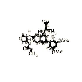 C=CC(=O)N[C@H]1COC[C@H]1Nc1ncc2cc(-c3c(F)c(OC)cc(OC)c3F)nc(NC(C)C3CC3)c2n1